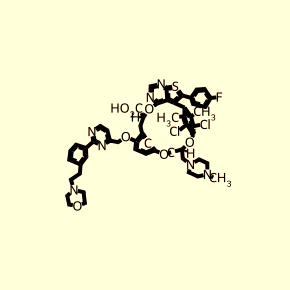 Cc1c(Cl)c2c(Cl)c(C)c1-c1c(-c3ccc(F)cc3)sc3ncnc(c13)O[C@@H](C(=O)O)Cc1cc(ccc1OCc1ccnc(-c3cccc(CCN4CCOCC4)c3)n1)OC[C@@H](CN1CCN(C)CC1)O2